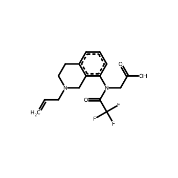 C=CCN1CCc2cccc(N(CC(=O)O)C(=O)C(F)(F)F)c2C1